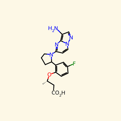 C[C@@H](CC(=O)O)Oc1ccc(F)cc1C1CCCN1c1ccn2ncc(N)c2n1